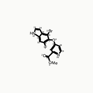 COC(=O)c1cc(Oc2c(F)cc3[nH]ccc3c2Br)ccn1